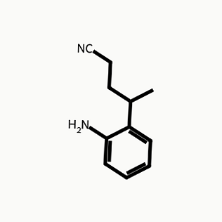 CC(CCC#N)c1ccccc1N